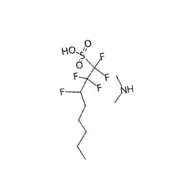 CCCCCC(F)C(F)(F)C(F)(F)S(=O)(=O)O.CNC